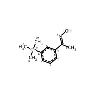 CC(=NO)c1ccc[c]([Ge]([CH3])([CH3])[CH3])c1